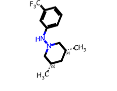 C[C@@H]1C[C@H](C)CN(Nc2cccc(C(F)(F)F)c2)C1